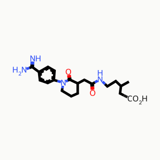 CC(CCNC(=O)CC1CCCN(c2ccc(C(=N)N)cc2)C1=O)CC(=O)O